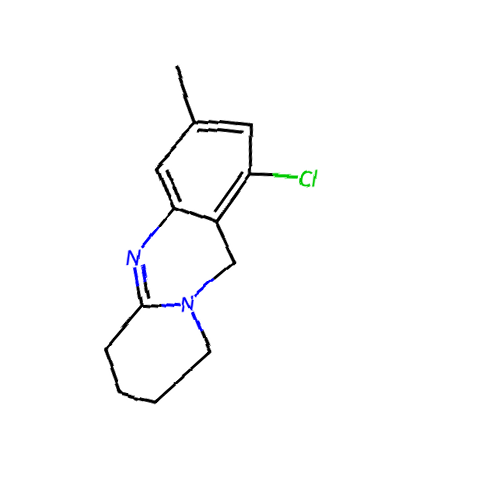 Cc1cc(Cl)c2c(c1)N=C1CCCCN1C2